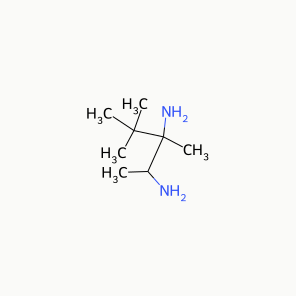 CC(N)C(C)(N)C(C)(C)C